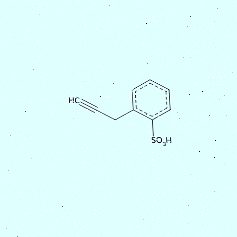 C#CCc1ccccc1S(=O)(=O)O